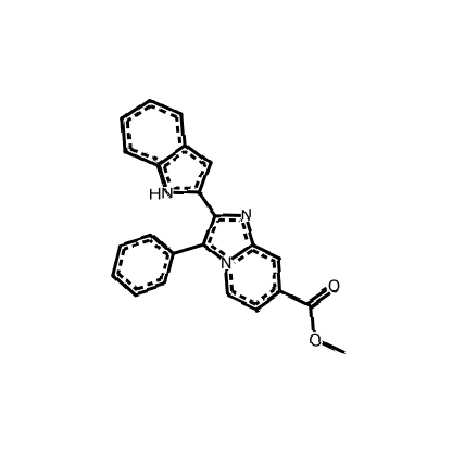 COC(=O)c1ccn2c(-c3ccccc3)c(-c3cc4ccccc4[nH]3)nc2c1